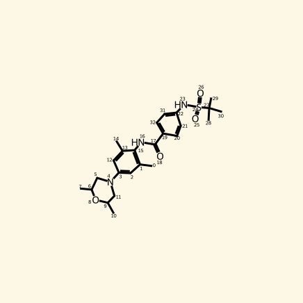 Cc1cc(N2CC(C)OC(C)C2)cc(C)c1NC(=O)c1ccc(NS(=O)(=O)C(C)(C)C)cc1